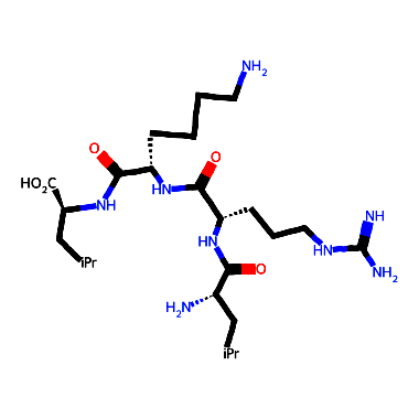 CC(C)C[C@H](NC(=O)[C@H](CCCCN)NC(=O)[C@H](CCCNC(=N)N)NC(=O)[C@@H](N)CC(C)C)C(=O)O